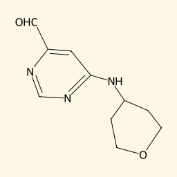 O=Cc1cc(NC2CCOCC2)ncn1